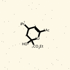 CCOC(=O)C1(O)CC(C(C)C)C=C(C(C)=O)O1